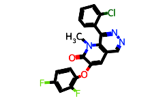 Cn1c(=O)c(Oc2ccc(F)cc2F)cc2cnnc(-c3ccccc3Cl)c21